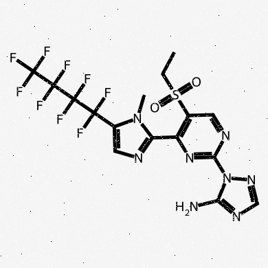 CCS(=O)(=O)c1cnc(-n2ncnc2N)nc1-c1ncc(C(F)(F)C(F)(F)C(F)(F)C(F)(F)F)n1C